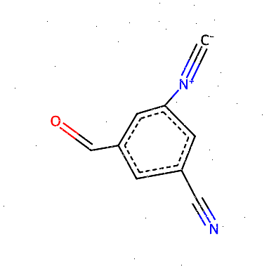 [C-]#[N+]c1cc(C#N)cc(C=O)c1